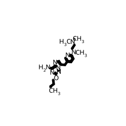 CCCCOc1nc(N)c2ncc(Cc3ccc(N(C)CCN(C)C)nc3)n2n1